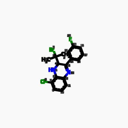 CC(C)(Br)C1Nc2c(Cl)cccc2N=C1c1cccc(F)c1